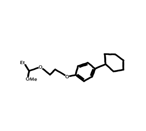 CCC(OC)OCCOc1ccc(C2CCCCC2)cc1